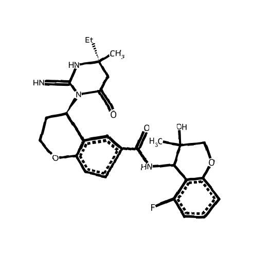 CC[C@]1(C)CC(=O)N([C@@H]2CCOc3ccc(C(=O)NC4c5c(F)cccc5OCC4(C)O)cc32)C(=N)N1